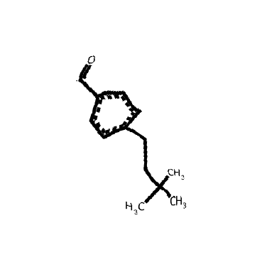 CC(C)(C)CCc1ccc([C]=O)cc1